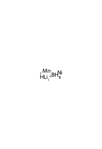 B.[LiH].[Mn].[Ni]